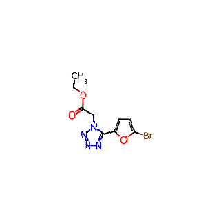 CCOC(=O)Cn1nnnc1-c1ccc(Br)o1